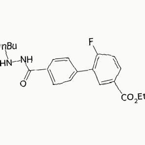 CCCCNNC(=O)c1ccc(-c2cc(C(=O)OCC)ccc2F)cc1